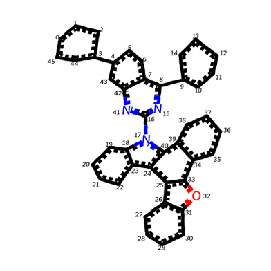 c1ccc(-c2ccc3c(-c4ccccc4)nc(-n4c5ccccc5c5c6c7ccccc7oc6c6ccccc6c54)nc3c2)cc1